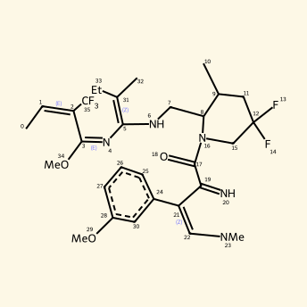 C\C=C(/C(=N\C(NCC1C(C)CC(F)(F)CN1C(=O)C(=N)/C(=C\NC)c1cccc(OC)c1)=C(\C)CC)OC)C(F)(F)F